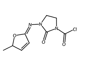 CC1C=CC(=NN2CCN(C(=O)Cl)C2=O)O1